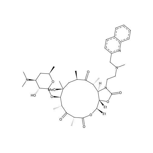 CC[C@H]1OC(=O)[C@H](C)C(=O)[C@H](C)[C@@H](OC2O[C@H](C)C[C@H](N(C)C)[C@H]2O)[C@@](C)(OC)C[C@@H](C)C(=O)[C@H](C)[C@H]2N(CCN(C)Cc3ccc4ccccc4n3)C(=O)O[C@]12CC